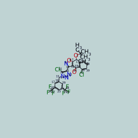 CC(OC(C)(C)C)c1onc(-c2nnn(Cc3cc(C(F)(F)F)cc(C(F)(F)F)c3)c2Cl)c1C(=O)c1ccccc1Cl